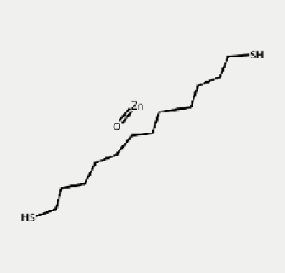 SCCCCCCCCCCCCS.[O]=[Zn]